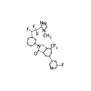 Cn1cnnc1C(F)(F)C(F)c1cccc(N2Cc3c(cc(-c4cncc(F)c4)cc3C(F)(F)F)C2=O)c1